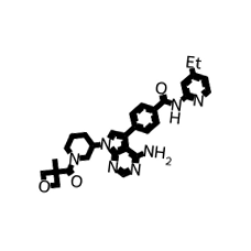 CCc1ccnc(NC(=O)c2ccc(-c3cn(C4CCCN(C(=O)C5(C)COC5)C4)c4ncnc(N)c34)cc2)c1